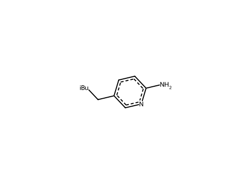 CCC(C)Cc1ccc(N)nc1